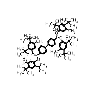 Cc1cc(OP(Oc2cc(C)c(C(C)(C)C)cc2C(C)(C)C)c2ccc(-c3ccc(P(Oc4cc(C)c(C(C)(C)C)cc4C(C)(C)C)Oc4cc(C)c(C(C)(C)C)cc4C(C)(C)C)cc3)cc2)c(C(C)C)cc1C(C)(C)C